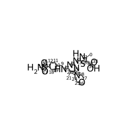 Cc1nc(Nc2nc(NCc3ccc(S(N)(=O)=O)cc3)c(C)c(N3CCOCC3)n2)sc1C(=O)O